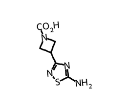 Nc1nc(C2CN(C(=O)O)C2)ns1